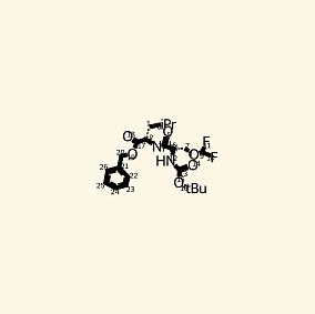 CC(C)C[C@H](NC(=O)[C@H](COC(F)F)NC(=O)OC(C)(C)C)C(=O)OCc1ccccc1